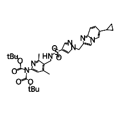 Cc1cc(N(C(=O)OC(C)(C)C)C(=O)OC(C)(C)C)nc(C)c1CNS(=O)(=O)c1cnn(Cc2cn3cc(C4CC4)ccc3n2)c1